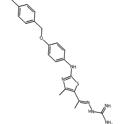 CC(=NNC(=N)N)c1sc(Nc2ccc(OCc3ccc(C)cc3)cc2)nc1C